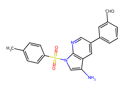 Cc1ccc(S(=O)(=O)n2cc(N)c3cc(-c4cccc(C=O)c4)cnc32)cc1